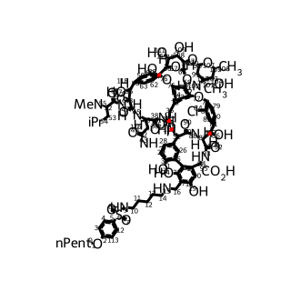 CCCCCOc1ccc(S(=O)(=O)NCCCCCNCc2c(O)cc3c(c2O)-c2cc(ccc2O)[C@H]2NC(=O)[C@@H]4NC(=O)[C@H](CC(N)=O)NC(=O)[C@H](NC(=O)[C@@H](CC(C)C)NC)[C@H](O)c5ccc6c(c5)C(O)[C@H]5O[C@@H](Oc7c(cc4cc7O6)Oc4ccc(cc4Cl)[C@@H](O)[C@H](NC2=O)C(=O)N[C@@H]3C(=O)O)[C@H](O[C@H]2C[C@](C)(N)[C@H](O)[C@H](C)O2)[C@@H](O)[C@@H]5O)cc1